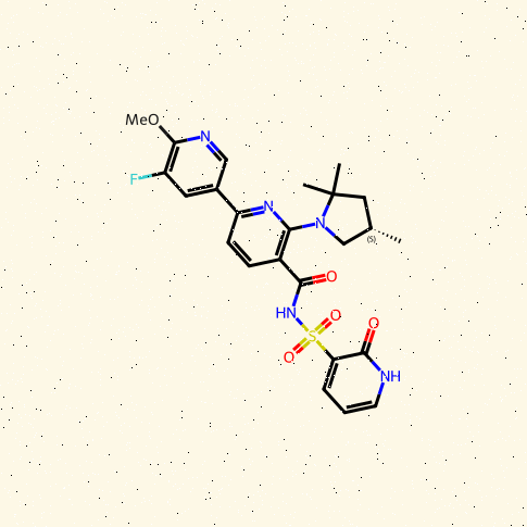 COc1ncc(-c2ccc(C(=O)NS(=O)(=O)c3ccc[nH]c3=O)c(N3C[C@@H](C)CC3(C)C)n2)cc1F